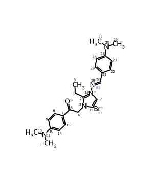 CCc1n(CC(=O)c2ccc(N(C)C)cc2)cc[n+]1/N=C/c1ccc(N(C)C)cc1.[Br-]